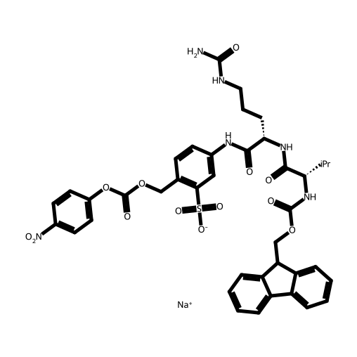 CC(C)[C@H](NC(=O)OCC1c2ccccc2-c2ccccc21)C(=O)N[C@@H](CCCNC(N)=O)C(=O)Nc1ccc(COC(=O)Oc2ccc([N+](=O)[O-])cc2)c(S(=O)(=O)[O-])c1.[Na+]